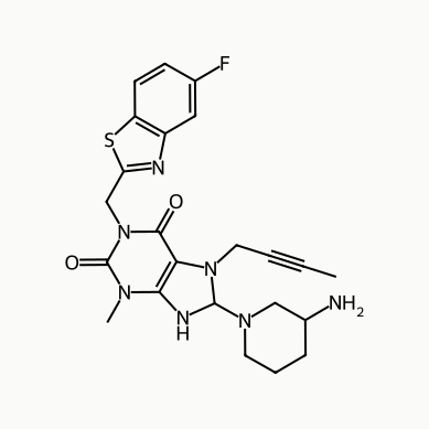 CC#CCN1c2c(n(C)c(=O)n(Cc3nc4cc(F)ccc4s3)c2=O)NC1N1CCCC(N)C1